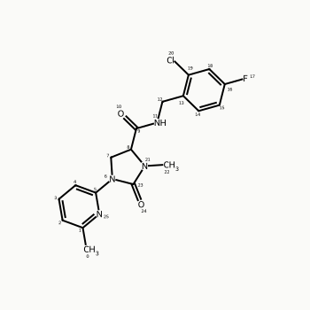 Cc1cccc(N2CC(C(=O)NCc3ccc(F)cc3Cl)N(C)C2=O)n1